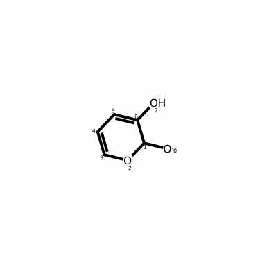 [O]C1OC=CC=C1O